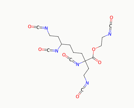 O=C=NCCOC(=O)C(CCCC(CCN=C=O)N=C=O)(CCN=C=O)N=C=O